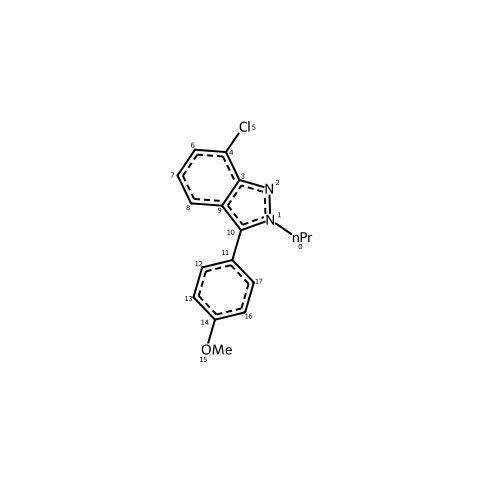 CCCn1nc2c(Cl)cccc2c1-c1ccc(OC)cc1